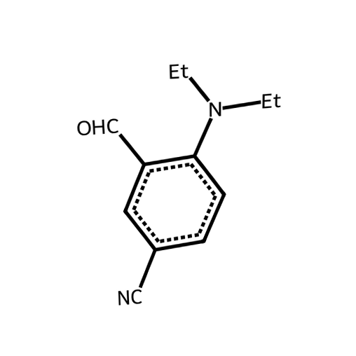 CCN(CC)c1ccc(C#N)cc1C=O